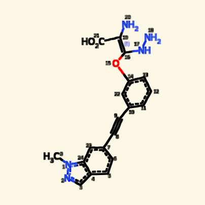 Cn1ncc2ccc(C#Cc3cccc(O/C(NN)=C(/N)C(=O)O)c3)cc21